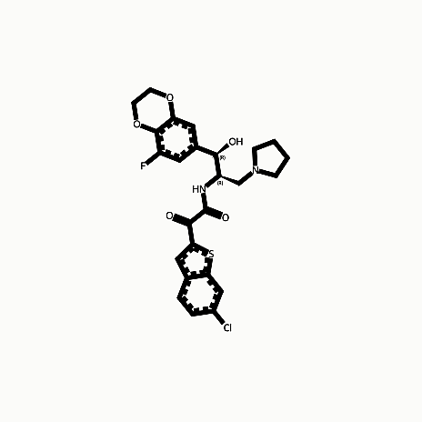 O=C(N[C@H](CN1CCCC1)[C@H](O)c1cc(F)c2c(c1)OCCO2)C(=O)c1cc2ccc(Cl)cc2s1